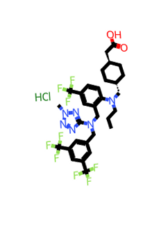 CCCN(C[C@H]1CC[C@H](CC(=O)O)CC1)c1ccc(C(F)(F)F)cc1CN(Cc1cc(C(F)(F)F)cc(C(F)(F)F)c1)c1nnn(C)n1.Cl